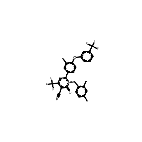 Cc1ccc(Cn2c(-c3ccc(Oc4cccc(C(F)(F)F)c4)c(C)c3)cc(C(F)(F)F)c(C#N)c2=O)c(C)c1